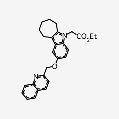 CCOC(=O)Cn1c2c(c3cc(OCc4ccc5ccccc5n4)ccc31)CCCCC2